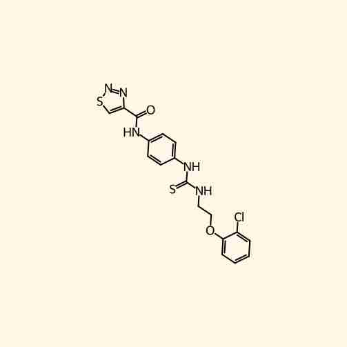 O=C(Nc1ccc(NC(=S)NCCOc2ccccc2Cl)cc1)c1csnn1